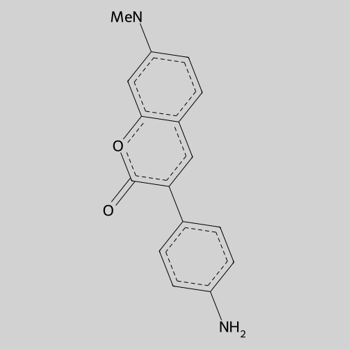 CNc1ccc2cc(-c3ccc(N)cc3)c(=O)oc2c1